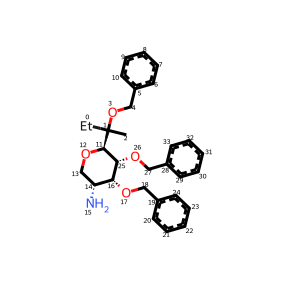 CCC(C)(OCc1ccccc1)[C@@H]1OC[C@@H](N)[C@@H](OCc2ccccc2)[C@H]1OCc1ccccc1